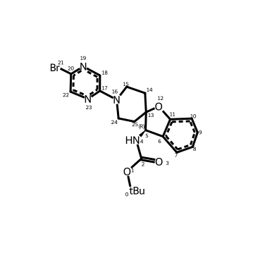 CC(C)(C)OC(=O)N[C@@H]1c2ccccc2OC12CCN(c1cnc(Br)cn1)CC2